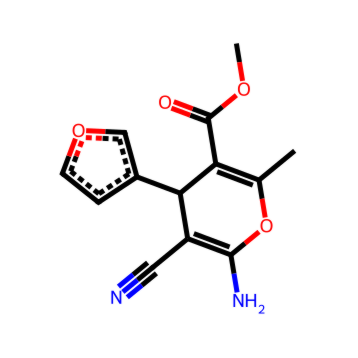 COC(=O)C1=C(C)OC(N)=C(C#N)C1c1ccoc1